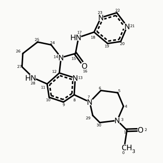 CC(=O)N1CCCN(c2ccc3c(n2)N(C(=O)Nc2ccncn2)CCCCN3)CC1